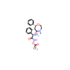 CN1CCO[C@@H](c2ccccc2)[C@@H](c2ccccc2[C@H](N)C(=O)NOC(=O)C(F)(F)F)C1=O